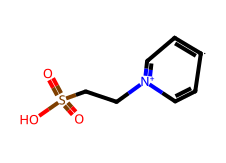 O=S(=O)(O)CC[n+]1cc[c]cc1